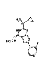 Cl.Cl.N[C@H](c1nc2cc(-c3ccncc3F)sc2c(=O)[nH]1)C1CC1